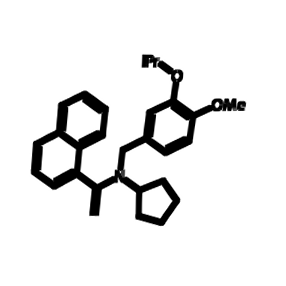 C=C(c1cccc2ccccc12)N(Cc1ccc(OC)c(OC(C)C)c1)C1CCCC1